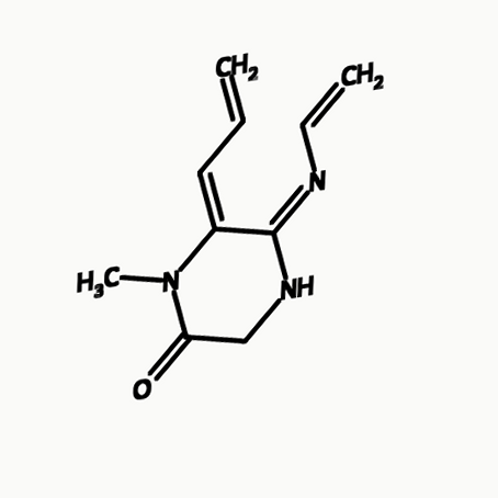 C=C/C=C1\C(=N/C=C)NCC(=O)N1C